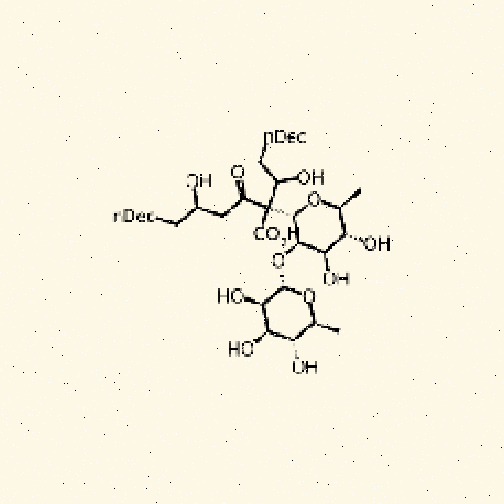 CCCCCCCCCCCC(O)CC(=O)C(C(=O)O)(C(O)CCCCCCCCCCC)[C@@H]1O[C@@H](C)[C@H](O)[C@@H](O)[C@H]1O[C@@H]1O[C@@H](C)[C@H](O)[C@@H](O)[C@H]1O